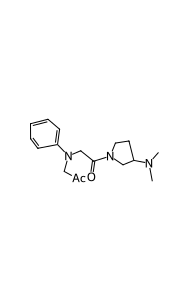 CC(=O)CN(CC(=O)N1CCC(N(C)C)C1)c1ccccc1